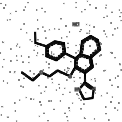 CCOCCOc1c(C2=NCCN2)cc2ccccc2c1-c1ccc(CC)cc1.Cl